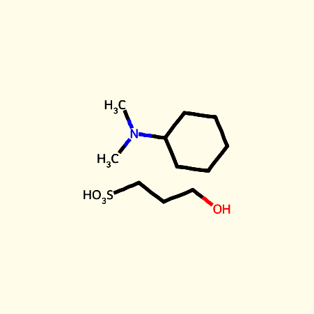 CN(C)C1CCCCC1.O=S(=O)(O)CCCO